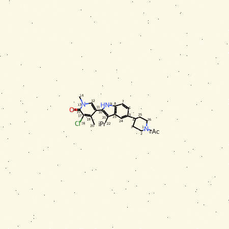 CC(=O)N1CCC(c2ccc3[nH]c(-c4cn(C)c(=O)c(Cl)c4C)c(C(C)C)c3c2)CC1